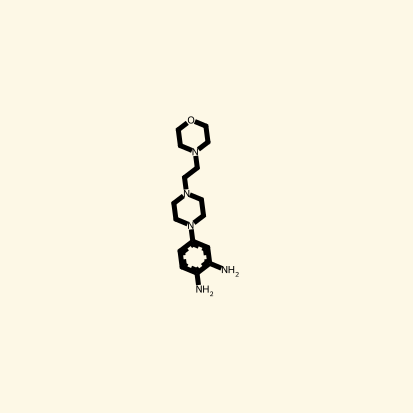 Nc1ccc(N2CCN(CCN3CCOCC3)CC2)cc1N